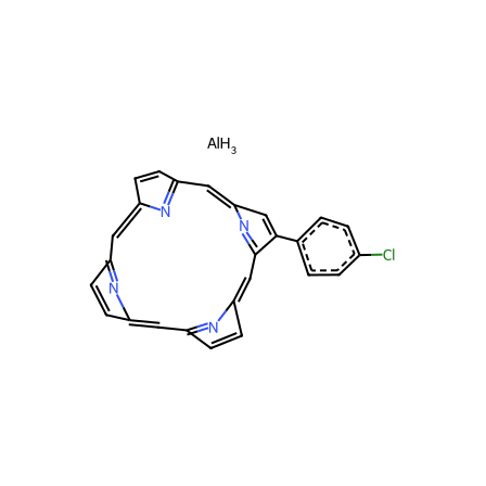 Clc1ccc(C2=CC3=CC4=NC(=CC5=NC(=CC6=NC(=CC2=N3)C=C6)C=C5)C=C4)cc1.[AlH3]